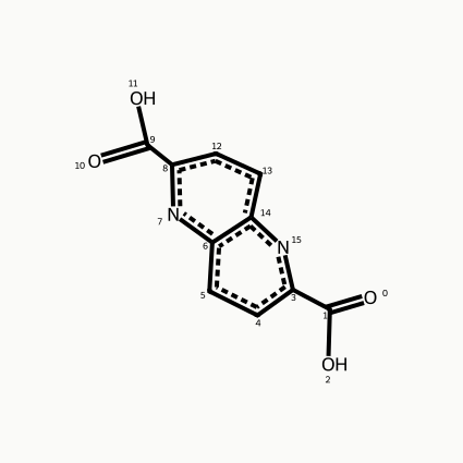 O=C(O)c1ccc2nc(C(=O)O)ccc2n1